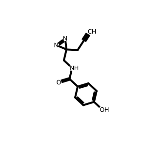 C#CCC1(CNC(=O)c2ccc(O)cc2)N=N1